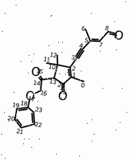 CC1=C(C#C/C(C)=C/C=O)C(C)(C)C(C(=O)COc2ccccc2)C1=O